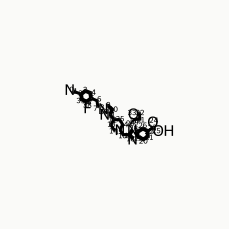 N#Cc1ccc(CCn2ccc(C3CCN(Cc4nc5ccc(C(=O)O)cc5n4C[C@@H]4CCO4)CC3)n2)c(F)c1